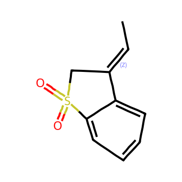 C/C=C1\CS(=O)(=O)c2ccccc21